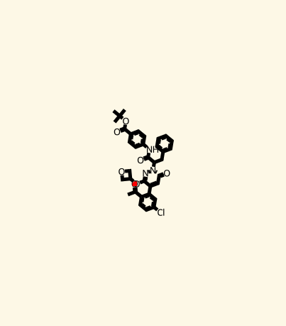 CC(=O)c1ccc(Cl)cc1C(=C/C=O)/C(=N\N(C)C(Cc1ccccc1)C(=O)Nc1ccc(C(=O)OC(C)(C)C)cc1)OC1COC1